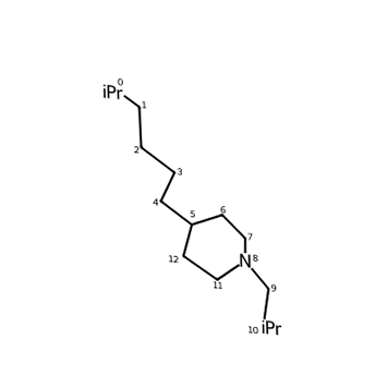 CC(C)CCCCC1CCN(CC(C)C)CC1